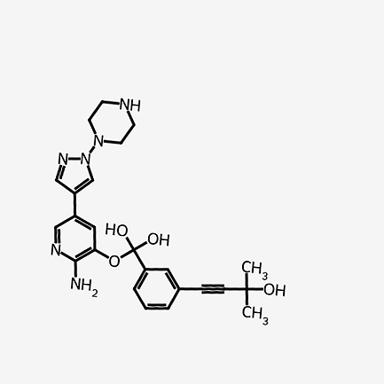 CC(C)(O)C#Cc1cccc(C(O)(O)Oc2cc(-c3cnn(N4CCNCC4)c3)cnc2N)c1